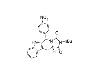 CCCCN1C(=O)[C@@H]2Cc3c([nH]c4ccccc34)[C@H](c3ccc([N+](=O)[O-])cc3)N2C1=O